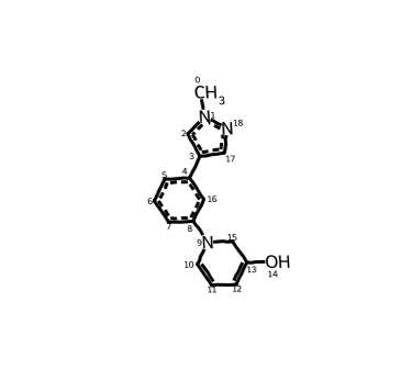 Cn1cc(-c2cccc(N3C=CC=C(O)C3)c2)cn1